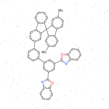 CC(C)(C)c1ccc2c(c1)C1(c3ccccc3-c3ccc(-c4cccc(-c5cc(-c6nc7ccccc7o6)cc(-c6nc7ccccc7o6)c5)c4)cc31)c1cc(C(C)(C)C)ccc1-2